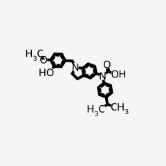 COc1ccc(CN2CCc3cc(N(C(=O)O)c4ccc(C(C)C)cc4)ccc32)cc1O